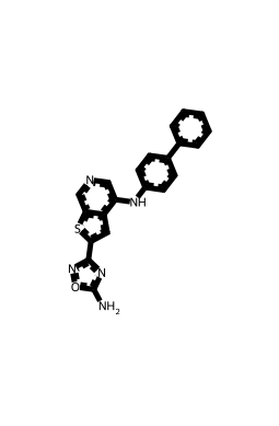 Nc1nc(-c2cc3c(Nc4ccc(-c5ccccc5)cc4)cncc3s2)no1